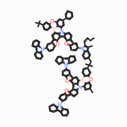 CC/C=C\c1c(C)c2cc(CC(C)(C)c3ccc4c(c3)Oc3cc(C)cc5c3B4c3cc4c6cc(-n7c8ccccc8c8ccccc87)ccc6oc4c4c6c7oc8ccc(-n9c%10ccccc%10c%10ccccc%109)cc8c7ccc6n-5c34)ccc2n1-c1ccc2oc3c(ccc4c3c3c5oc6ccc(-n7c8ccccc8c8ccccc87)cc6c5cc5c3n4-c3cc(-c4ccccc4)cc4c3B5c3ccc(C(C)(C)C)cc3O4)c2c1